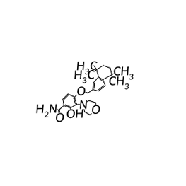 CC1(C)CCC(C)(C)c2cc(COc3ccc(C(N)=O)c(O)c3N3CCOCC3)ccc21